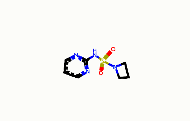 O=S(=O)(Nc1ncccn1)N1CCC1